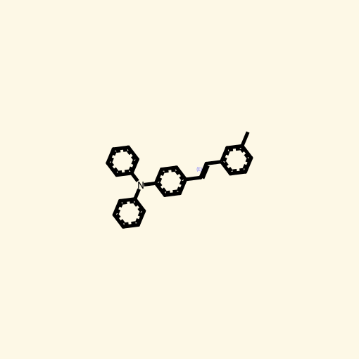 Cc1cccc(/C=C/c2ccc(N(c3ccccc3)c3ccccc3)cc2)c1